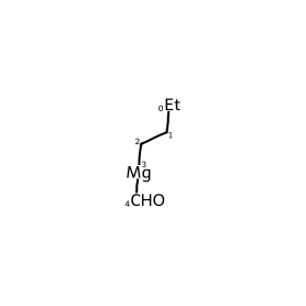 CCC[CH2][Mg][CH]=O